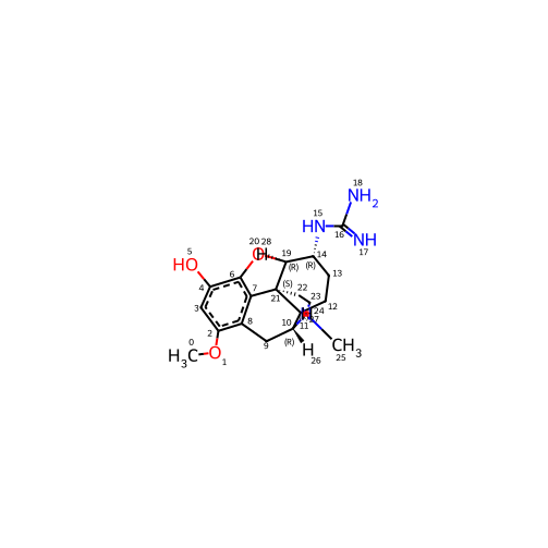 COc1cc(O)c2c3c1C[C@@H]1[C@@H]4CC[C@@H](NC(=N)N)[C@H](O2)[C@]34CCN1C